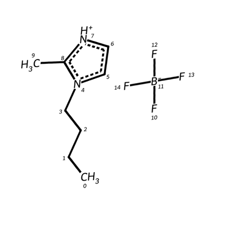 CCCCn1cc[nH+]c1C.F[B-](F)(F)F